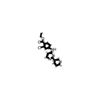 CCOC(=O)c1ccc(Nc2ccnc(-c3cccnc3)n2)cc1Cl